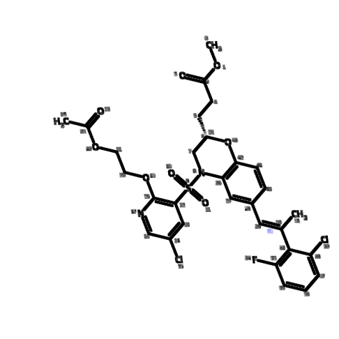 COC(=O)CC[C@H]1CN(S(=O)(=O)c2cc(Cl)cnc2OCCOC(C)=O)c2cc(/C=C(\C)c3c(F)cccc3Cl)ccc2O1